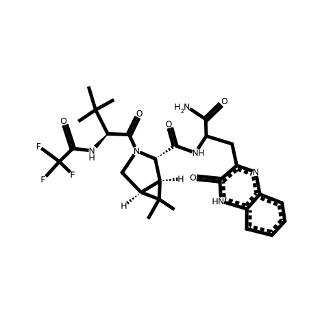 CC(C)(C)[C@H](NC(=O)C(F)(F)F)C(=O)N1C[C@H]2[C@@H]([C@H]1C(=O)NC(Cc1nc3ccccc3[nH]c1=O)C(N)=O)C2(C)C